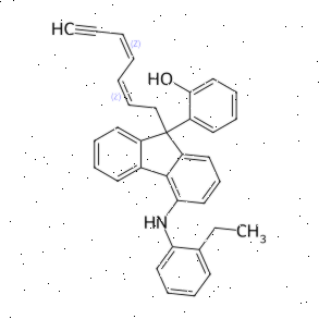 C#C/C=C\C=C/CC1(c2ccccc2O)c2ccccc2-c2c(Nc3ccccc3CC)cccc21